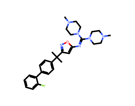 CN1CCN(C(=Nc2cc(C(C)(C)c3ccc(-c4ccccc4F)cc3)no2)N2CCN(C)CC2)CC1